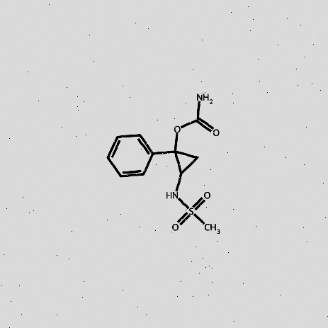 CS(=O)(=O)NC1CC1(OC(N)=O)c1ccccc1